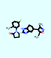 Cc1ccc(F)cc1N1C(=O)CC[C@H]1c1nc2cc(-c3c(C)noc3C)ccc2[nH]1